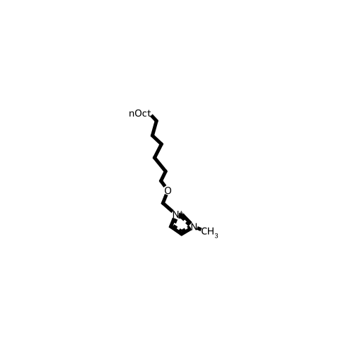 CCCCCCCCCCCCCCOC[n+]1ccn(C)c1